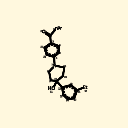 CCCC(=O)c1ccc(N2CCC(O)(c3cccc(CC)c3)CC2)cc1